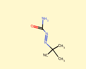 CC(C)(C#N)N=NC(N)=O